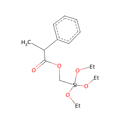 CCO[Si](COC(=O)C(C)c1ccccc1)(OCC)OCC